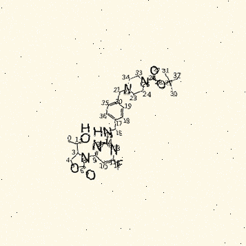 CC(O)C1COC(=O)N1c1cc(F)nc(NCc2ccc(CN3CCN(C(=O)OC(C)(C)C)CC3)cc2)n1